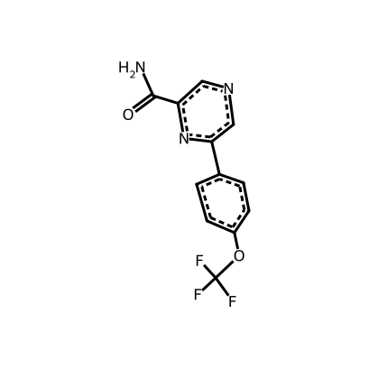 NC(=O)c1cncc(-c2ccc(OC(F)(F)F)cc2)n1